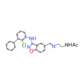 CC(=O)NCCN=Cc1ccc2onc(Nc3cccc(-c4ccccc4)c3Cl)c2c1